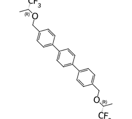 C[C@@H](OCc1ccc(-c2ccc(-c3ccc(CO[C@H](C)C(F)(F)F)cc3)cc2)cc1)C(F)(F)F